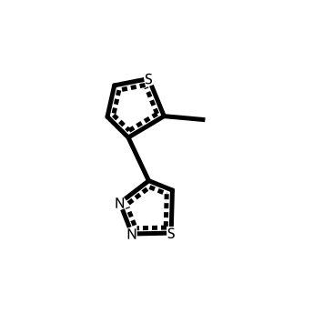 Cc1sccc1-c1csnn1